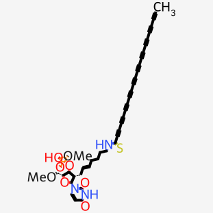 CC#CC#CC#CC#CC#CC#CC#CC#CC#CC#CC(=S)NCCCC/C=C/C[C@H]1C(OP(=O)(O)OC)[C@@H](COC)O[C@H]1n1ccc(=O)[nH]c1=O